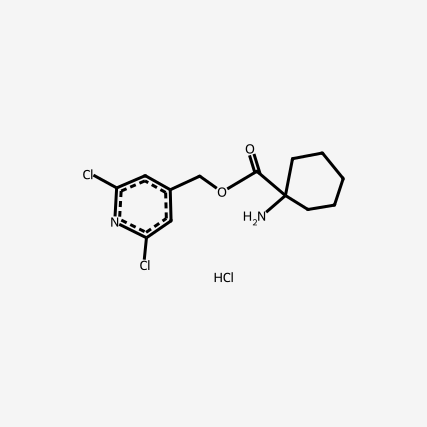 Cl.NC1(C(=O)OCc2cc(Cl)nc(Cl)c2)CCCCC1